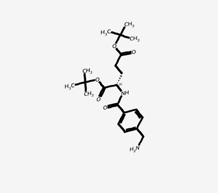 CC(C)(C)OC(=O)CC[C@H](NC(=O)c1ccc(CN)cc1)C(=O)OC(C)(C)C